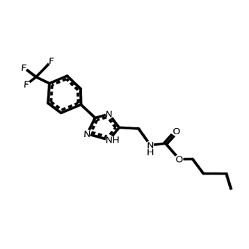 CCCCOC(=O)NCc1nc(-c2ccc(C(F)(F)F)cc2)n[nH]1